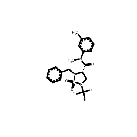 [2H]C([2H])([2H])N1C[C@@H](C(=O)N(C)c2cccc(C)c2)N(Cc2ccccc2)S1(=O)=O